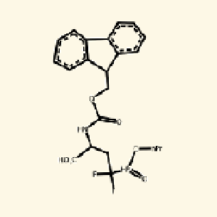 CCCO[PH](=O)C(F)(F)CC(NC(=O)OCC1c2ccccc2-c2ccccc21)C(=O)O